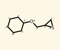 C1CCC(OCC2CS2)CC1